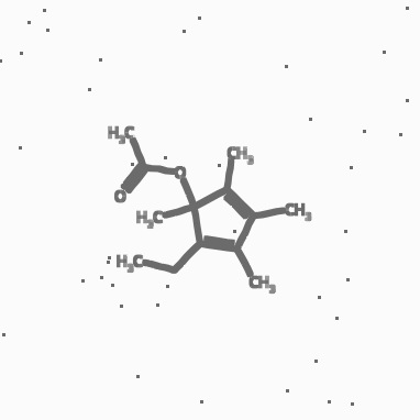 CCC1=C(C)C(C)=C(C)C1(C)OC(C)=O